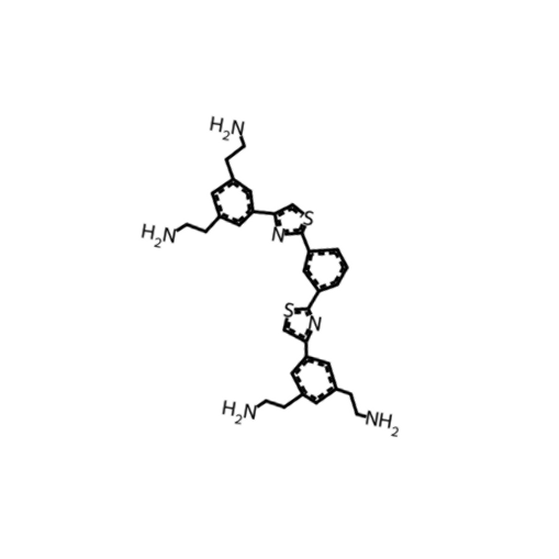 NCCc1cc(CCN)cc(-c2csc(-c3cccc(-c4nc(-c5cc(CCN)cc(CCN)c5)cs4)c3)n2)c1